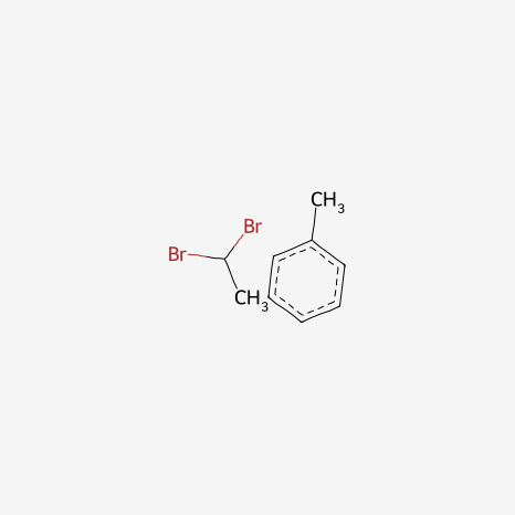 CC(Br)Br.Cc1ccccc1